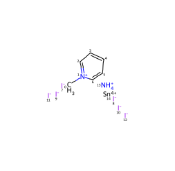 C[n+]1ccccc1.[I-].[I-].[I-].[I-].[I-].[I-].[NH4+].[Sn+4]